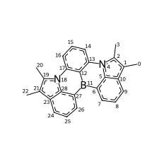 Cc1c(C)n2c3c(cccc13)B1c3c-2cccc3-n2c(C)c(C)c3cccc1c32